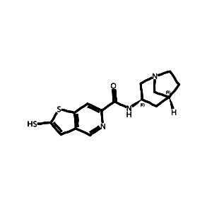 O=C(N[C@@H]1C[C@H]2CCN(C2)C1)c1cc2sc(S)cc2cn1